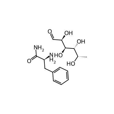 C[C@H](O)[C@@H](O)[C@@H](O)[C@H](O)C=O.NC(=O)[C@@H](N)Cc1ccccc1